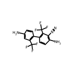 N#[N+]c1c(N)ccc(-c2ccc(N)cc2C(F)(F)F)c1C(F)(F)F